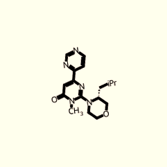 CC(C)C[C@@H]1COCCN1c1nc(-c2ccncn2)cc(=O)n1C